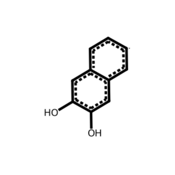 Oc1cc2c[c]ccc2cc1O